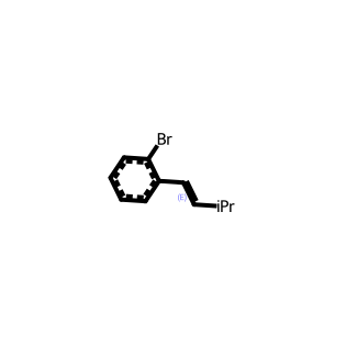 CC(C)/C=C/c1ccccc1Br